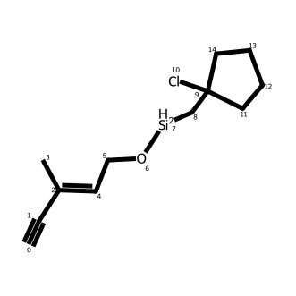 C#C/C(C)=C/CO[SiH2]CC1(Cl)CCCC1